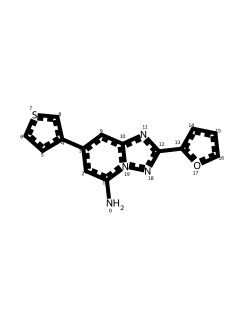 Nc1cc(-c2ccsc2)cc2nc(-c3ccco3)nn12